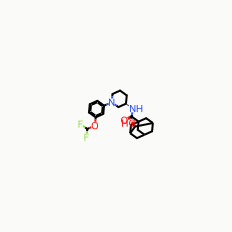 O=C(N[C@H]1CCCN(c2cccc(OC(F)F)c2)C1)C12CC3CC(C1)C(O)C(C3)C2